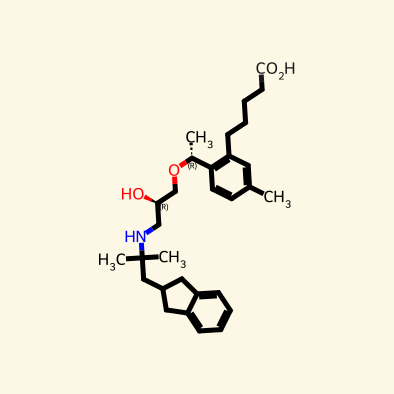 Cc1ccc([C@@H](C)OC[C@H](O)CNC(C)(C)CC2Cc3ccccc3C2)c(CCCCC(=O)O)c1